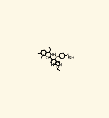 CCC(NC(=O)c1cnc2c(cnn2CC)c1NC1CCC(=NO)CC1)c1ccc(C)c(C)c1